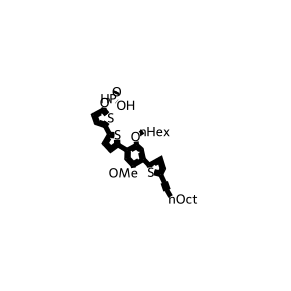 CCCCCCCCC#Cc1ccc(-c2cc(OCCCCCC)c(-c3ccc(-c4ccc(O[PH](=O)O)s4)s3)cc2OC)s1